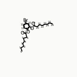 CCCCCCCC(=O)Oc1ccc(Br)cc1OC(=O)CCCCCCC